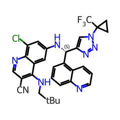 CC(C)(C)CNc1c(C#N)cnc2c(Cl)cc(N[C@H](c3cn(C4(C(F)(F)F)CC4)nn3)c3cccc4ncccc34)cc12